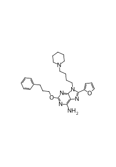 Nc1nc(OCCCc2ccccc2)nc2c1nc(-c1ccco1)n2CCCCN1CCCCC1